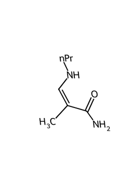 CCCNC=C(C)C(N)=O